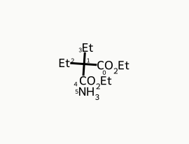 CCOC(=O)C(CC)(CC)C(=O)OCC.N